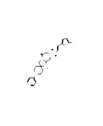 CN1C2CN(S(=O)(=O)C=Cc3ccc(Cl)s3)CC(=O)N2CC12CCN(c1ccncc1)CC2